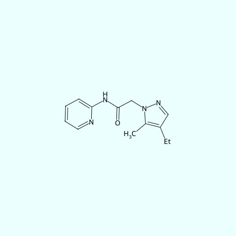 CCc1cnn(CC(=O)Nc2ccccn2)c1C